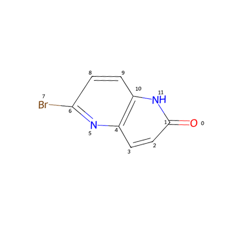 O=c1ccc2nc(Br)ccc2[nH]1